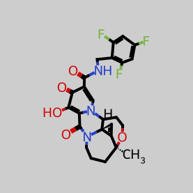 C[C@@]12CCCN3C(=O)c4c(O)c(=O)c(C(=O)NCc5c(F)cc(F)cc5F)cn4[C@@H](CCO1)[C@@]31C=C12